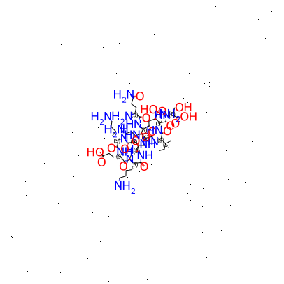 CC[C@H](C)[C@H](NC(=O)[C@H](CCCCN)NC(=O)[C@H](CC(C)C)NC(=O)[C@H](CCCCN)NC(=O)[C@H](CCC(=O)O)NC(=O)[C@H](CCCCN)NC(=O)[C@@H](NC(=O)[C@H](CCCCN)NC(=O)[C@@H](N)CCC(N)=O)C(C)C)C(=O)N[C@@H](CC(=O)O)C(=O)N[C@@H](CO)C(=O)O